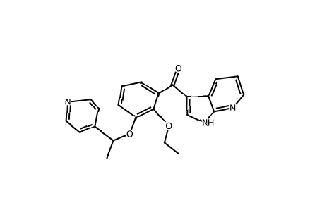 CCOc1c(OC(C)c2ccncc2)cccc1C(=O)c1c[nH]c2ncccc12